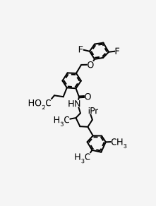 Cc1cc(C)cc(C(CC(C)C)CC(C)CNC(=O)c2cc(COc3cc(F)ccc3F)ccc2CCC(=O)O)c1